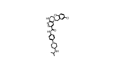 CC(C)NC1CCN(c2ccc(NC(=O)c3cc4c(nn3)NCCN4Cc3cc(Cl)ccc3Cl)cc2)CC1